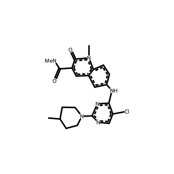 CNC(=O)c1cc2cc(Nc3nc(N4CCC(C)CC4)ncc3Cl)ccc2n(C)c1=O